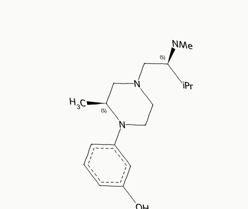 CN[C@H](CN1CCN(c2cccc(O)c2)[C@@H](C)C1)C(C)C